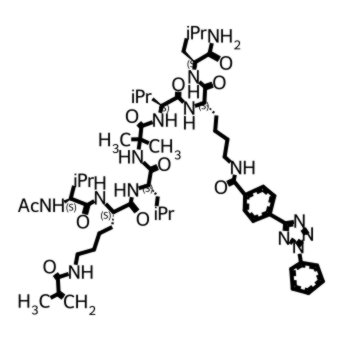 C=C(C)C(=O)NCCCC[C@H](NC(=O)[C@@H](NC(C)=O)C(C)C)C(=O)N[C@@H](CC(C)C)C(=O)NC(C)(C)C(=O)N[C@H](C(=O)N[C@@H](CCCCNC(=O)c1ccc(-c2nnn(-c3ccccc3)n2)cc1)C(=O)N[C@@H](CC(C)C)C(N)=O)C(C)C